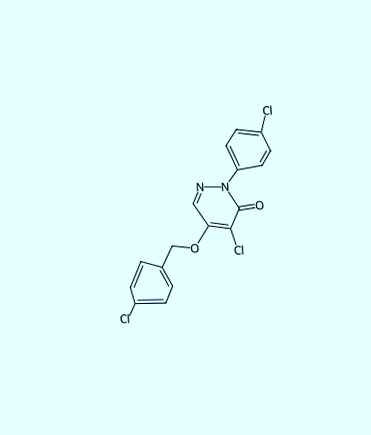 O=c1c(Cl)c(OCc2ccc(Cl)cc2)cnn1-c1ccc(Cl)cc1